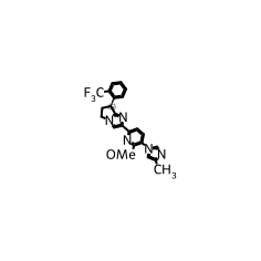 COc1nc(-c2cn3c(n2)[C@H](c2ccccc2C(F)(F)F)CC3)ccc1-n1cnc(C)c1